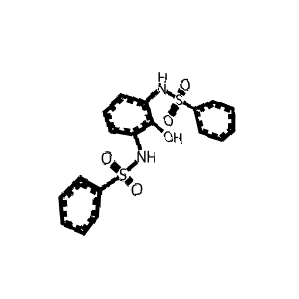 O=S(=O)(Nc1cccc(NS(=O)(=O)c2ccccc2)c1O)c1ccccc1